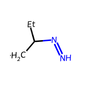 [CH2]C(CC)N=N